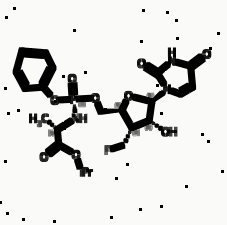 CC(C)OC(=O)[C@H](C)N[P@](=O)(OC[C@H]1O[C@@H](n2ccc(=O)[nH]c2=O)[C@H](O)[C@@H]1CF)Oc1ccccc1